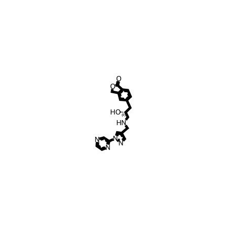 O=C1OCc2cc(C[C@@H](O)CNCc3cnn(-c4cnccn4)c3)ccc21